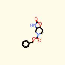 O=C1NC2CN(C(=O)OCc3ccccc3)CCC2O1